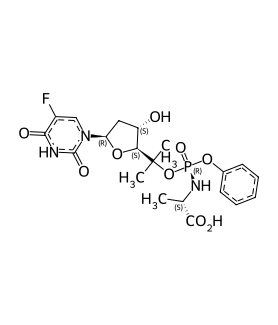 C[C@H](N[P@@](=O)(Oc1ccccc1)OC(C)(C)[C@H]1O[C@@H](n2cc(F)c(=O)[nH]c2=O)C[C@@H]1O)C(=O)O